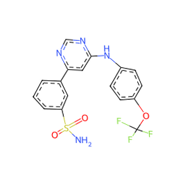 NS(=O)(=O)c1cccc(-c2cc(Nc3ccc(OC(F)(F)F)cc3)ncn2)c1